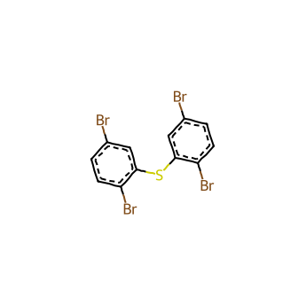 Brc1ccc(Br)c(Sc2cc(Br)ccc2Br)c1